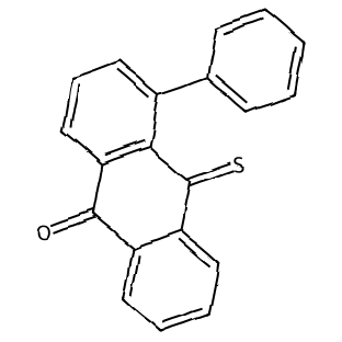 O=C1c2ccccc2C(=S)c2c1cccc2-c1ccccc1